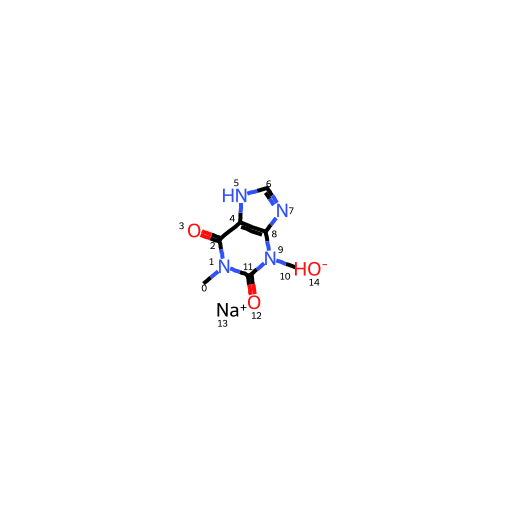 Cn1c(=O)c2[nH]cnc2n(C)c1=O.[Na+].[OH-]